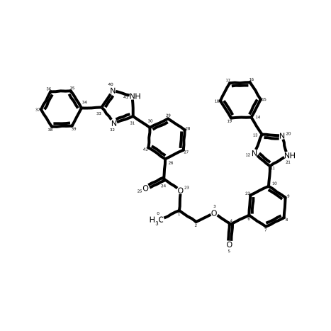 CC(COC(=O)c1cccc(-c2nc(-c3ccccc3)n[nH]2)c1)OC(=O)c1cccc(-c2nc(-c3ccccc3)n[nH]2)c1